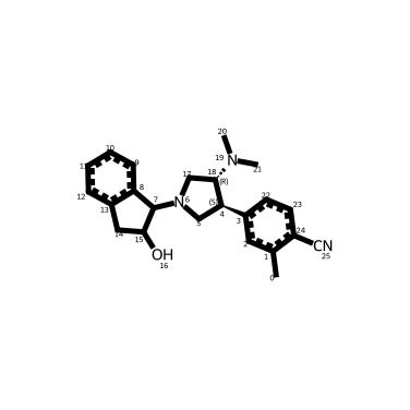 Cc1cc([C@H]2CN(C3c4ccccc4CC3O)C[C@@H]2N(C)C)ccc1C#N